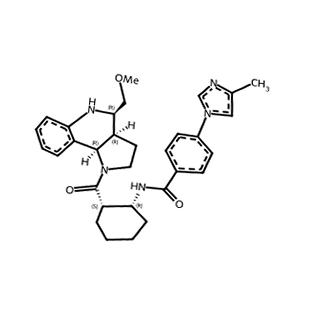 COC[C@@H]1Nc2ccccc2[C@H]2[C@@H]1CCN2C(=O)[C@H]1CCCC[C@H]1NC(=O)c1ccc(-n2cnc(C)c2)cc1